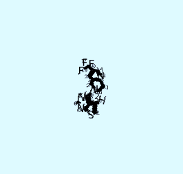 [2H]c1csc2ncnc(N3CCc4ncc(C(F)(F)F)cc4C3)c12